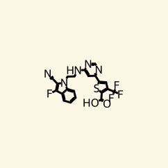 N#Cc1c(F)c2ccccc2n1CCNc1cc(-c2cc(C(F)(F)F)c(C(=O)O)s2)ncn1